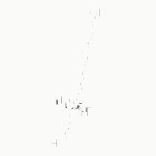 CC(C)(CCOCCCO)[Si](C)(C)OCCCCCCCCOCCCOCCCO